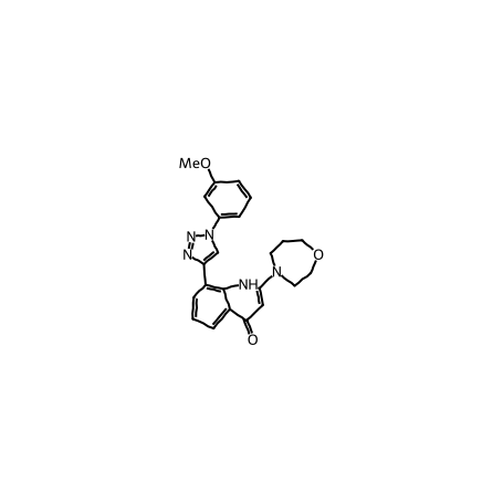 COc1cccc(-n2cc(-c3cccc4c(=O)cc(N5CCCOCC5)[nH]c34)nn2)c1